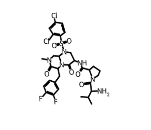 CC(C)C(N)C(=O)N1CCCC1C(=O)NC1CN(S(=O)(=O)c2ccc(Cl)cc2Cl)C2CN(C)C(=O)C(Cc3ccc(F)c(F)c3)N2C1=O